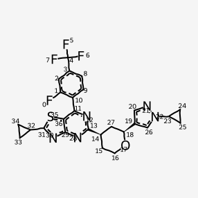 Fc1cc(C(F)(F)F)ccc1-c1nc([C@@H]2CCO[C@H](c3cnn(C4CC4)c3)C2)nc2nc(C3CC3)sc12